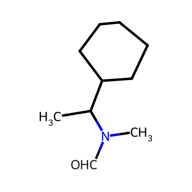 CC(C1CCCCC1)N(C)C=O